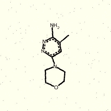 Cc1cc(N2CCOCC2)nnc1N